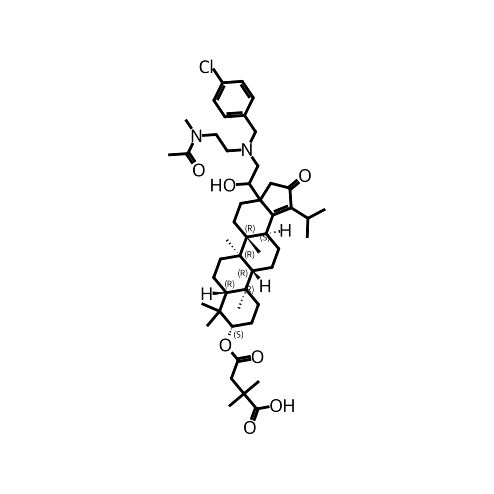 CC(=O)N(C)CCN(Cc1ccc(Cl)cc1)CC(O)C12CC[C@]3(C)[C@H](CC[C@@H]4[C@@]5(C)CC[C@H](OC(=O)CC(C)(C)C(=O)O)C(C)(C)[C@@H]5CC[C@]43C)C1=C(C(C)C)C(=O)C2